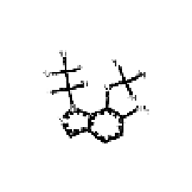 [2H]C([2H])([2H])Oc1c(N)ccc2cnn(C([2H])([2H])C([2H])([2H])[2H])c12